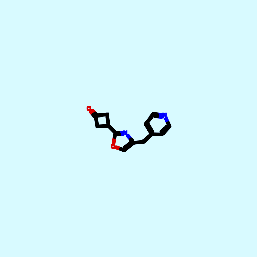 O=C1CC(c2nc(Cc3ccncc3)co2)C1